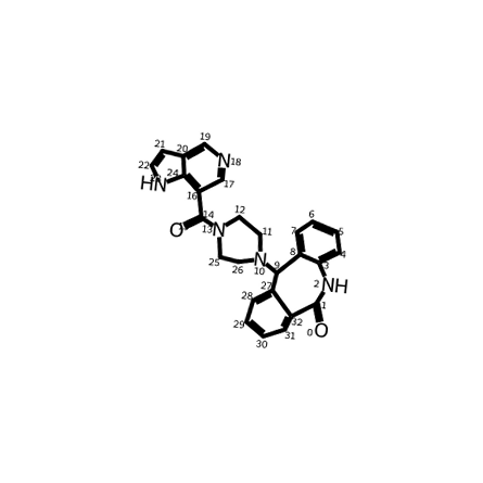 O=C1Nc2ccccc2C(N2CCN(C(=O)c3cncc4cc[nH]c34)CC2)c2ccccc21